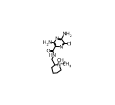 C[N+]1(C)CCCCC1CNC(=O)c1nc(Cl)c(N)nc1N